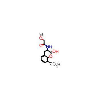 CCOCC(=O)NC1Cc2cccc(C(=O)O)c2OB1O